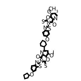 COc1ccnc2c(=O)n(-c3nc4ccc(OC5CCCC(c6cc(OI)c7oc(=S)n(-c8nc9ccc(OC%10CCCC%10)cc9s8)c(=O)c7n6)C5)cc4s3)c(=S)oc12